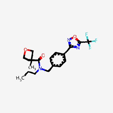 CCCN(Cc1ccc(-c2noc(C(F)(F)F)n2)cc1)C(=O)C1(C)COC1